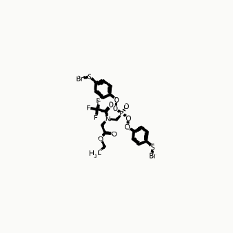 CCOC(=O)CN(CP(=O)(OOc1ccc(SBr)cc1)OOc1ccc(SBr)cc1)C(=O)C(F)(F)F